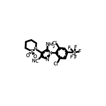 N#Cc1nn(-c2c(Cl)cc(S(F)(F)(F)(F)F)cc2Cl)c(N)c1N1CCCCS1(=O)=O